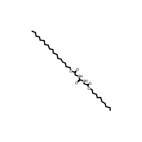 CCCCCCCCCCCCCCCCCCOC(=O)CNC(=O)NCC(=O)OCCCCCCCCCC